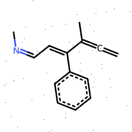 C=C=C(C)/C(=C/C=N\C)c1ccccc1